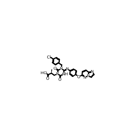 C[C@@H](Cn1c(=O)[nH]/c(=N\c2ccc(Oc3ccc4nccn4n3)cc2)n(Cc2ccc(Cl)cc2)c1=O)C(=O)O